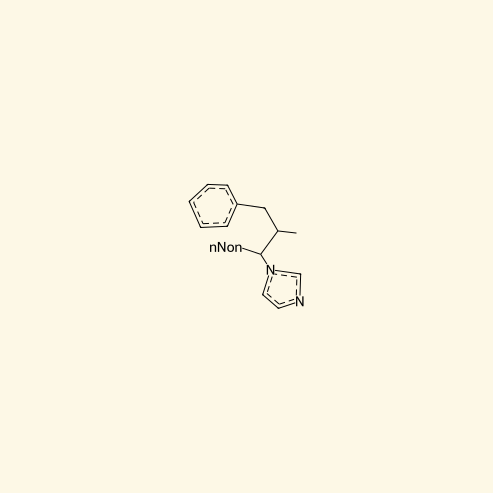 CCCCCCCCCC(C(C)Cc1ccccc1)n1ccnc1